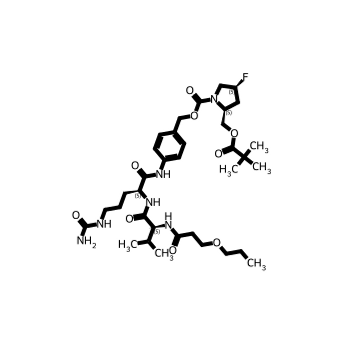 CCCOCCC(=O)N[C@H](C(=O)N[C@@H](CCCNC(N)=O)C(=O)Nc1ccc(COC(=O)N2C[C@@H](F)C[C@H]2COC(=O)C(C)(C)C)cc1)C(C)C